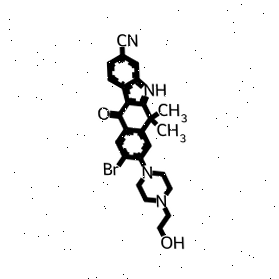 CC1(C)c2cc(N3CCN(CCO)CC3)c(Br)cc2C(=O)c2c1[nH]c1cc(C#N)ccc21